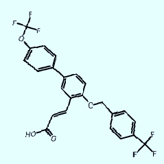 O=C(O)C=Cc1cc(-c2ccc(OC(F)(F)F)cc2)ccc1OCc1ccc(C(F)(F)F)cc1